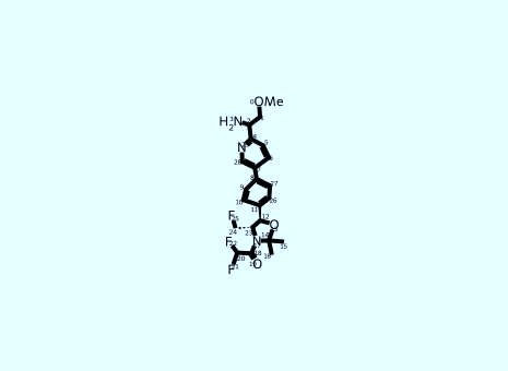 COCC(N)c1ccc(-c2ccc([C@H]3OC(C)(C)N(C(=O)C(F)F)[C@@H]3CF)cc2)cn1